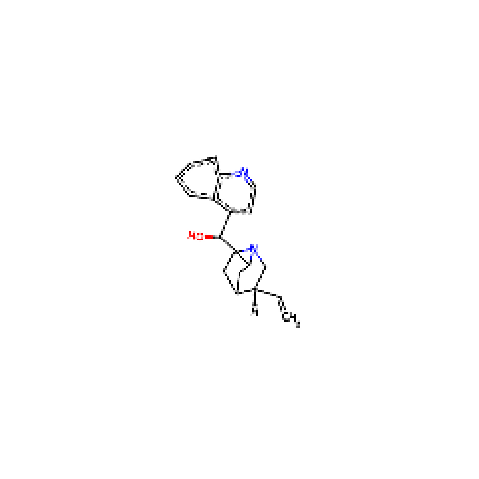 C=C[C@H]1CN2CCC1CC2[C@@H](O)c1ccnc2ccccc12